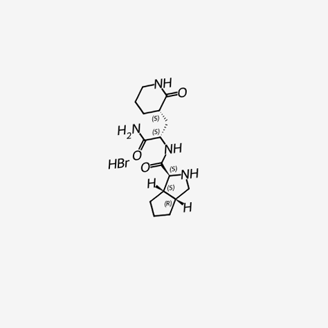 Br.NC(=O)[C@H](C[C@@H]1CCCNC1=O)NC(=O)[C@H]1NC[C@@H]2CCC[C@@H]21